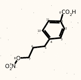 O=C(O)c1ccc(CCCO[N+](=O)[O-])cc1